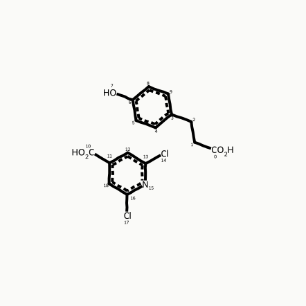 O=C(O)CCc1ccc(O)cc1.O=C(O)c1cc(Cl)nc(Cl)c1